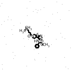 COC(=O)[C@@H](Nc1ncnc2sc3c(c12)CCN(C(=O)/C=C/CN(C)C)C3)c1ccccc1